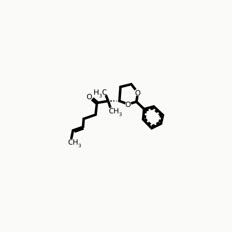 CC=CCCC(=O)C(C)(C)[C@@H]1CCOC(c2ccccc2)O1